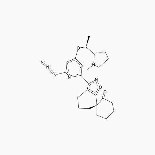 C[C@H](Oc1cc(N=[N+]=[N-])nc(-c2noc3c2CCC[C@@]32CCCCC2=O)n1)[C@@H]1CCCN1C